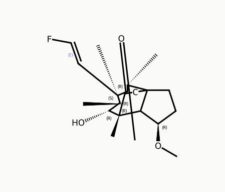 CO[C@@H]1CCC23CC[C@@H](C)[C@](C)(C12)[C@H](O)C[C@@](C)(/C=C/F)C(=O)[C@@H]3C